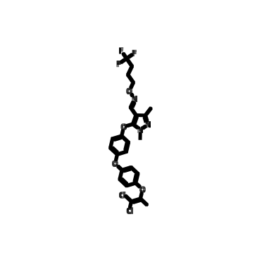 CC(Oc1ccc(Oc2ccc(Oc3c(/C=N/OCCCC(F)(F)F)c(C)nn3C)cc2)cc1)=C(Cl)Cl